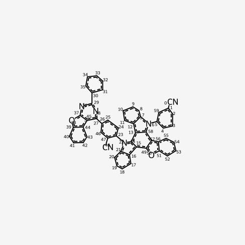 N#Cc1cccc(-n2c3ccccc3c3c4c(c5ccccc5n4-c4ccc(-c5nc(-c6ccccc6)nc6oc7ccccc7c56)cc4C#N)c4oc5ccccc5c4c32)c1